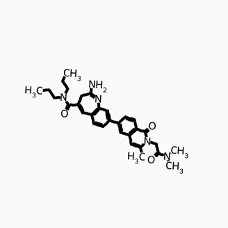 CCCN(CCC)C(=O)C1=Cc2ccc(-c3ccc4c(=O)n(CC(=O)N(C)C)c(C)cc4c3)cc2N=C(N)C1